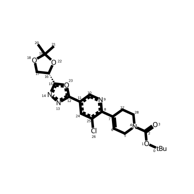 CC(C)(C)OC(=O)N1CC=C(c2ncc(-c3nnc([C@@H]4COC(C)(C)O4)o3)cc2Cl)CC1